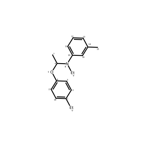 CCc1ccc(OC(C)N(CC)c2cccc(C)c2)cc1